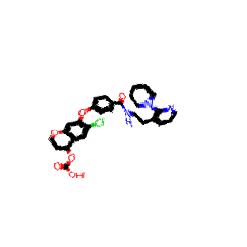 O=C(O)OC1CCOc2cc(Oc3ccc(C(=O)NCCc4cccnc4N4CCCCC4)cc3)c(Cl)cc21